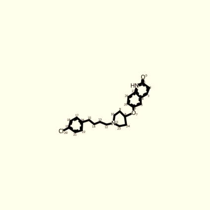 O=c1ccc2cc(OC3CCN(CCCCc4ccc(Cl)cc4)CC3)ccc2[nH]1